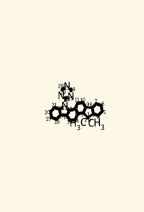 CC1(C)c2ccccc2-c2ccc3c(ccc4c5ccccc5n(-c5ncncn5)c34)c21